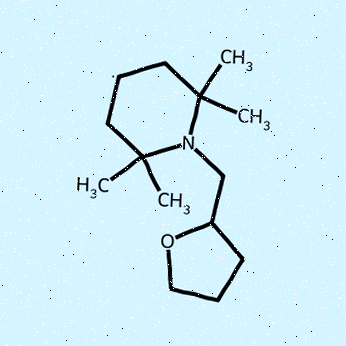 CC1(C)C[CH]CC(C)(C)N1CC1CCCO1